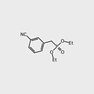 CCOP(=O)(Cc1cccc(C#N)c1)OCC